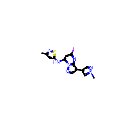 Cc1cc(Nc2cc(I)nc3c(-c4cnn(C)c4)cnn23)sn1